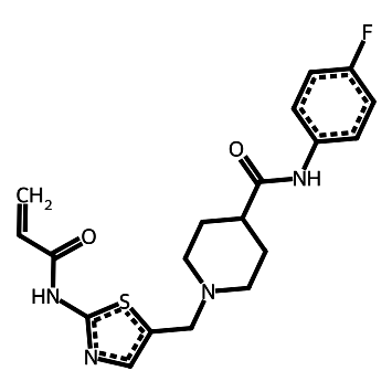 C=CC(=O)Nc1ncc(CN2CCC(C(=O)Nc3ccc(F)cc3)CC2)s1